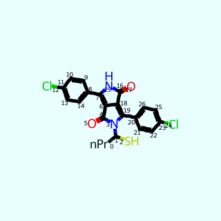 CCCC(S)N1C(=O)C2=C(c3ccc(Cl)cc3)NC(=O)C2=C1c1ccc(Cl)cc1